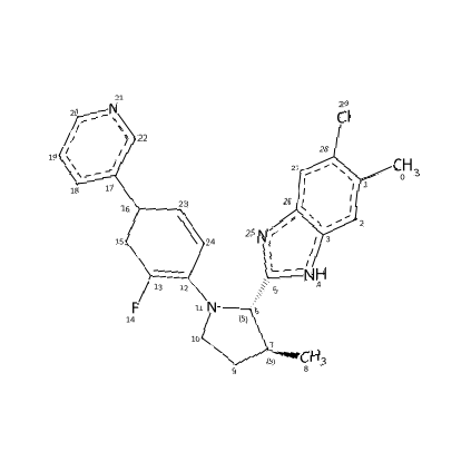 Cc1cc2[nH]c([C@@H]3[C@@H](C)CCN3C3=C(F)[CH]C(c4cccnc4)C=C3)nc2cc1Cl